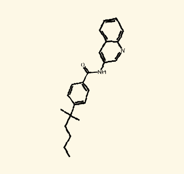 CCCCC(C)(C)c1ccc(C(=O)Nc2cnc3ccccc3c2)cc1